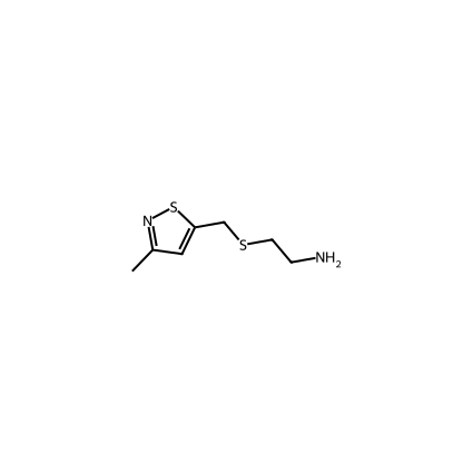 Cc1cc(CSCCN)sn1